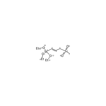 CCO[Si](/C=C/CS(C)(=O)=O)(OCC)OCC